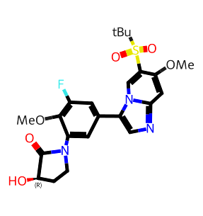 COc1cc2ncc(-c3cc(F)c(OC)c(N4CC[C@@H](O)C4=O)c3)n2cc1S(=O)(=O)C(C)(C)C